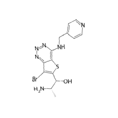 C[C@H](N)C(O)c1sc2c(NCc3ccncc3)nnnc2c1Br